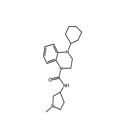 CN1CCC(NC(=O)N2CCN(C3CCCCC3)c3ccccc32)C1